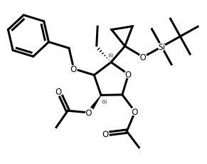 CC[C@]1(C2(O[Si](C)(C)C(C)(C)C)CC2)OC(OC(C)=O)[C@@H](OC(C)=O)C1OCc1ccccc1